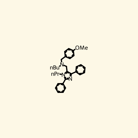 CCCCN(Cc1ccc(OC)cc1)Cc1c(-c2ccccc2)nc(-c2ccccc2)n1CCC